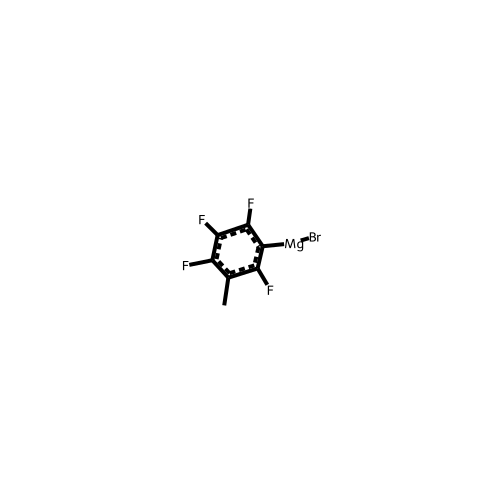 Cc1c(F)c(F)c(F)[c]([Mg][Br])c1F